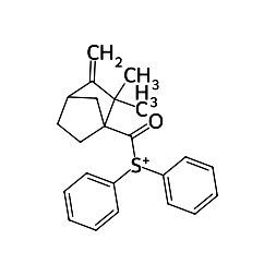 C=C1C2CCC(C(=O)[S+](c3ccccc3)c3ccccc3)(C2)C1(C)C